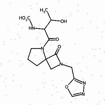 CC(O)C(NC(=O)O)C(=O)N1CCCC12CN(Cc1nnco1)C2=O